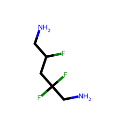 NCC(F)CC(F)(F)CN